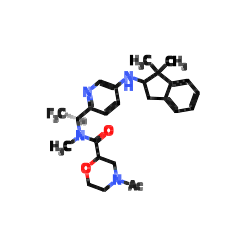 CC(=O)N1CCOC(C(=O)N(C)[C@@H](c2ccc(NC3Cc4ccccc4C3(C)C)cn2)C(F)(F)F)C1